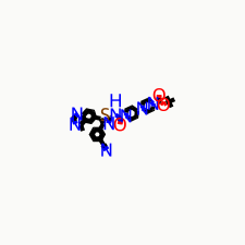 Cc1ncnc2ccc(-c3sc(NC(=O)N4CCC(N5CCN(C(=O)OC(C)(C)C)CC5)CC4)nc3-c3cccc(C#N)c3)cc12